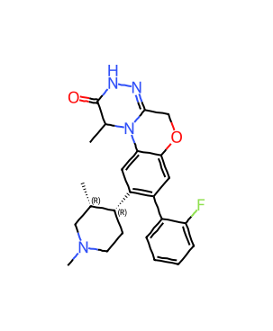 CC1C(=O)NN=C2COc3cc(-c4ccccc4F)c([C@@H]4CCN(C)C[C@@H]4C)cc3N21